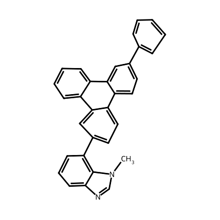 Cn1cnc2cccc(-c3ccc4c5ccc(-c6ccccc6)cc5c5ccccc5c4c3)c21